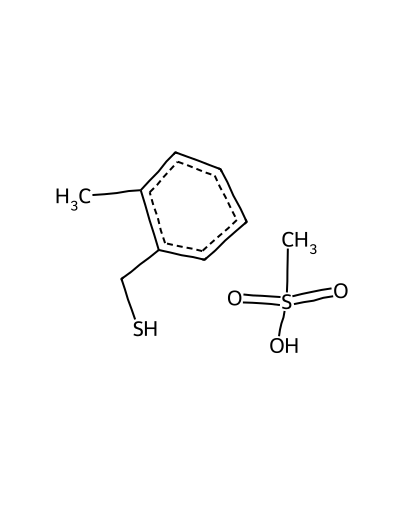 CS(=O)(=O)O.Cc1ccccc1CS